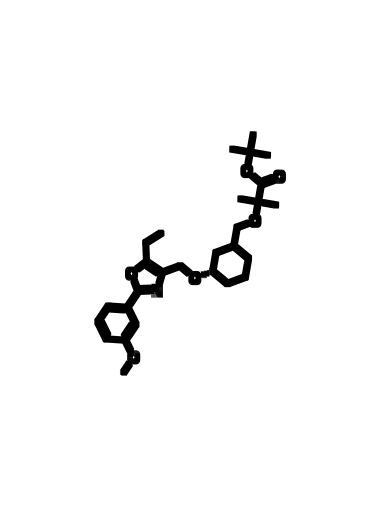 CCc1oc(-c2cccc(OC)c2)nc1CO[C@H]1CCCC(COC(C)(C)C(=O)OC(C)(C)C)C1